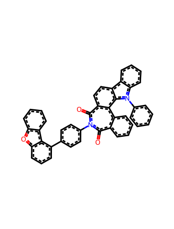 O=c1c2ccccc2c2c(ccc3c4ccccc4n(-c4ccccc4)c32)c(=O)n1-c1ccc(-c2cccc3oc4ccccc4c23)cc1